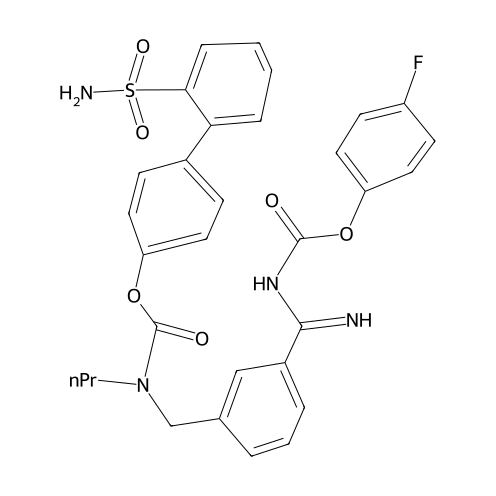 CCCN(Cc1cccc(C(=N)NC(=O)Oc2ccc(F)cc2)c1)C(=O)Oc1ccc(-c2ccccc2S(N)(=O)=O)cc1